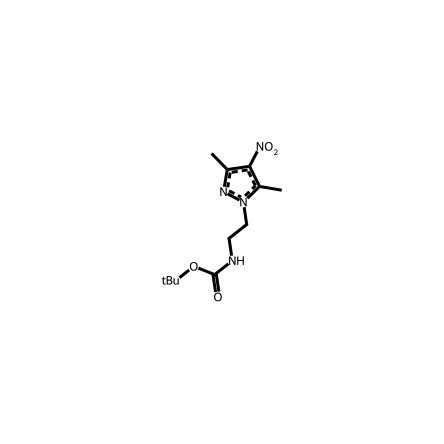 Cc1nn(CCNC(=O)OC(C)(C)C)c(C)c1[N+](=O)[O-]